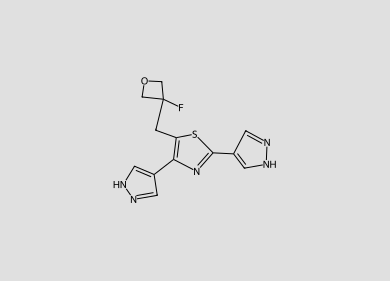 FC1(Cc2sc(-c3cn[nH]c3)nc2-c2cn[nH]c2)COC1